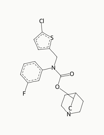 O=C(OC1CN2CCC1CC2)N(Cc1ccc(Cl)s1)c1cccc(F)c1